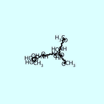 CC(=O)CCCCCNC(=O)CN(CC(=O)NCCCCCC(=O)NCCO[C@@H]1O[C@@H](C)[C@@H](O)[C@@H](O)[C@@H]1O)CC(=O)NCCCC(C)=O